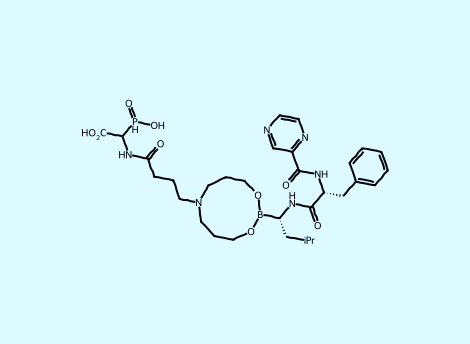 CC(C)C[C@@H](NC(=O)[C@@H](Cc1ccccc1)NC(=O)c1cnccn1)B1OCCCN(CCCC(=O)NC(C(=O)O)[PH](=O)O)CCCO1